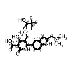 CCc1c(-c2ccc3[nH]c(CN(C)C)cc3c2)[nH]c(=O)c(C(=O)O)c1O.O=C(O)C(F)(F)F